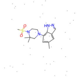 Cc1cc(N2CCN(S(C)(=O)=O)C(C)(C)C2)c2[nH]ncc2c1